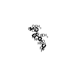 COc1cc(C(=O)Nc2cc(C(F)(F)F)ccn2)ccc1-c1nc([C@@H]2CC[C@H](C)N(C(=O)C3(C)COC3)C2)n2ccnc(N)c12